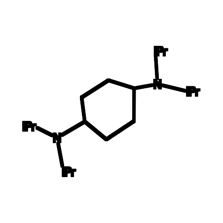 CC(C)N(C(C)C)C1CCC(N(C(C)C)C(C)C)CC1